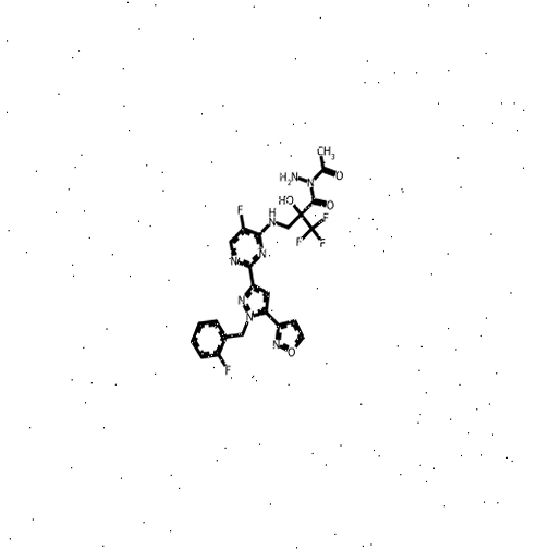 CC(=O)N(N)C(=O)C(O)(CNc1nc(-c2cc(-c3ccon3)n(Cc3ccccc3F)n2)ncc1F)C(F)(F)F